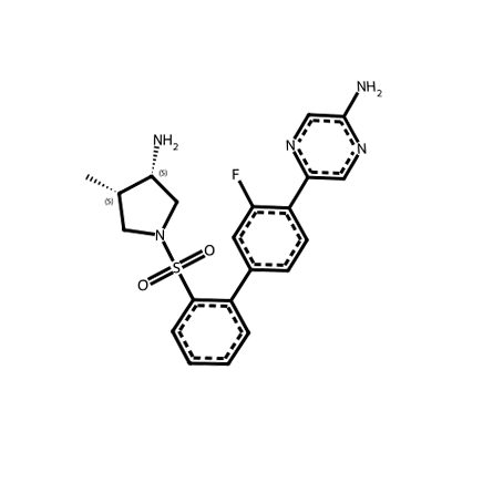 C[C@H]1CN(S(=O)(=O)c2ccccc2-c2ccc(-c3cnc(N)cn3)c(F)c2)C[C@H]1N